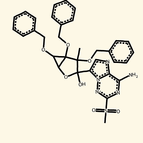 CC1(OCc2ccccc2)C(O)(c2cnc3c(N)nc(S(C)(=O)=O)nn23)OC2C(OCc3ccccc3)C21OCc1ccccc1